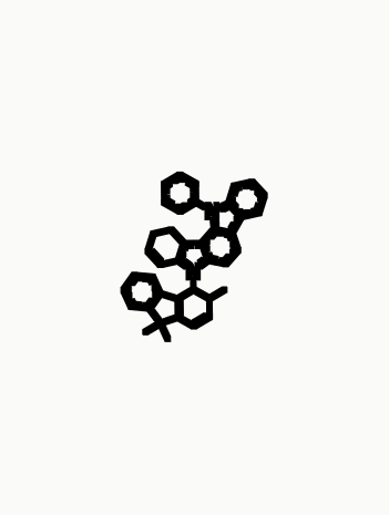 CC1C=CC2=C(c3ccccc3C2(C)C)C1n1c2c(c3c1ccc1c4ccccc4n(-c4ccccc4)c13)CCC=C2